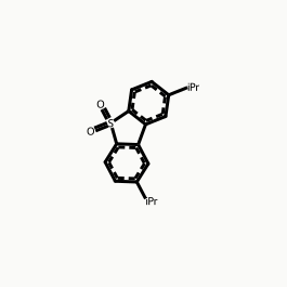 CC(C)c1ccc2c(c1)-c1cc(C(C)C)ccc1S2(=O)=O